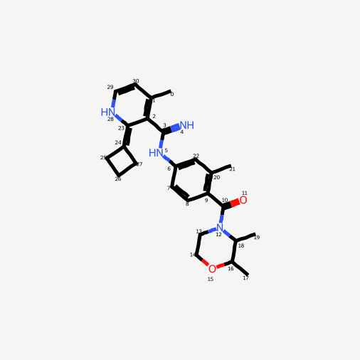 CC1=C(C(=N)Nc2ccc(C(=O)N3CCOC(C)C3C)c(C)c2)C(=C2CCC2)NC=C1